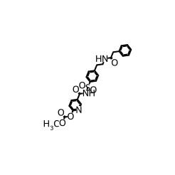 COC(=O)Oc1ccc(C(=O)NS(=O)(=O)c2ccc(CCNC(=O)Cc3ccccc3)cc2)cn1